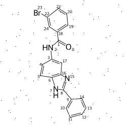 O=C(Nc1ccc2[nH]c(-c3ccccc3)nc2c1)c1cccc(Br)c1